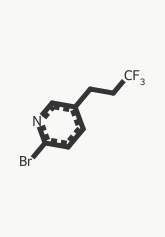 FC(F)(F)CCc1ccc(Br)nc1